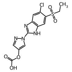 CCS(=O)(=O)c1cc2[nH]c(-n3cc(OC(=O)O)cn3)nc2cc1Cl